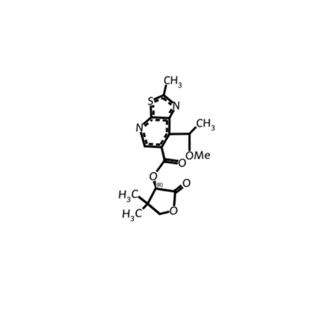 COC(C)c1c(C(=O)O[C@H]2C(=O)OCC2(C)C)cnc2sc(C)nc12